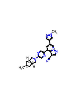 C[C@@H]1C[C@@H]2CN(c3cnc(-c4cc(-c5cnn(C)c5)cn5ncc(C#N)c45)cn3)C[C@@H]2C1